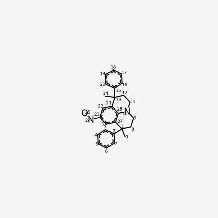 CC1(c2ccccc2)CCN2CCC(C)(c3ccccc3)c3cc(N=O)cc1c32